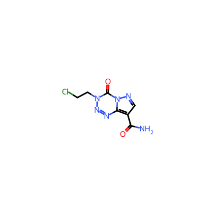 NC(=O)c1cnn2c(=O)n(CCCl)nnc12